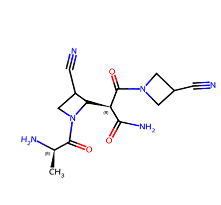 C[C@@H](N)C(=O)N1CC(C#N)C1[C@H](C(N)=O)C(=O)N1CC(C#N)C1